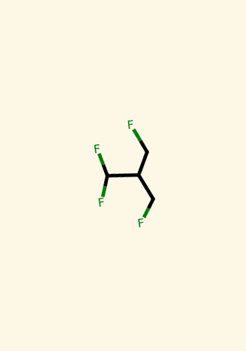 FCC(CF)C(F)F